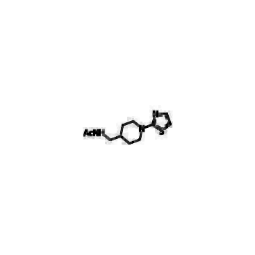 CC(=O)NCC1CCN(c2nccs2)CC1